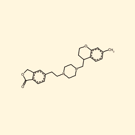 Cc1ccc2c(c1)OCCC2CN1CCN(CCc2ccc3c(c2)COC3=O)CC1